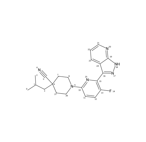 CC(C)CC1(C#N)CCN(c2ccc(F)c(-c3n[nH]c4ncccc34)n2)CC1